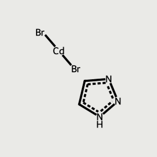 [Br][Cd][Br].c1c[nH]nn1